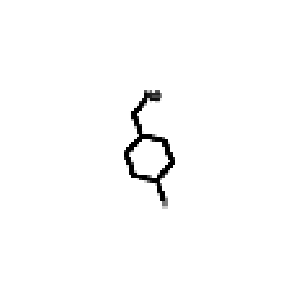 O=NCC1CCC(I)CC1